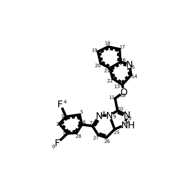 Fc1cc(F)cc(C2=NN3C(COc4cnc5ccccc5c4)=NNC3C=C2)c1